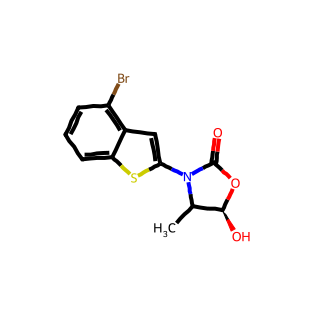 CC1[C@H](O)OC(=O)N1c1cc2c(Br)cccc2s1